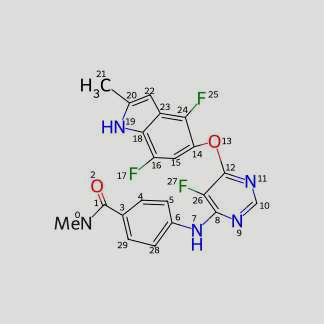 CNC(=O)c1ccc(Nc2ncnc(Oc3cc(F)c4[nH]c(C)cc4c3F)c2F)cc1